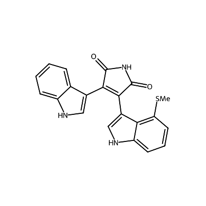 CSc1cccc2[nH]cc(C3=C(c4c[nH]c5ccccc45)C(=O)NC3=O)c12